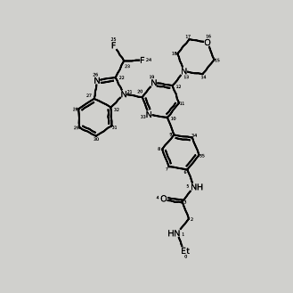 CCNCC(=O)Nc1ccc(-c2cc(N3CCOCC3)nc(-n3c(C(F)F)nc4ccccc43)n2)cc1